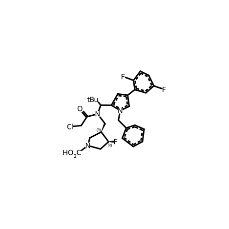 CC(C)(C)C(c1cc(-c2cc(F)ccc2F)cn1Cc1ccccc1)N(C[C@@H]1CN(C(=O)O)C[C@@H]1F)C(=O)CCl